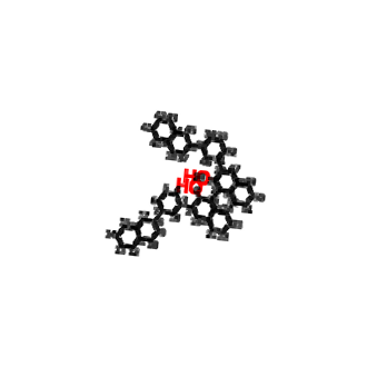 Oc1c(-c2cccc(-c3ccc4ccccc4c3)c2)cc2ccccc2c1-c1c(O)c(-c2cccc(-c3ccc4ccccc4c3)c2)cc2ccccc12